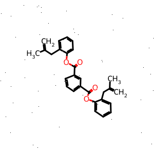 C=C(C)Cc1ccccc1OC(=O)c1cccc(C(=O)Oc2ccccc2CC(=C)C)c1